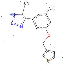 N#Cc1[nH]nnc1-c1cc(OCc2ccsc2)cc(C(F)(F)F)c1